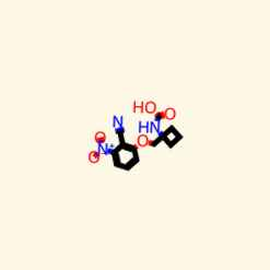 N#Cc1c(OCC2(NC(=O)O)CCC2)cccc1[N+](=O)[O-]